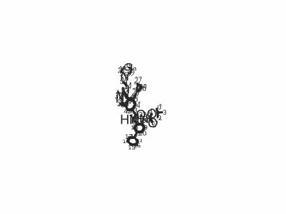 CC(C)(C)OC(=O)Nc1ccc(-c2ccccc2)cc1NC(=O)c1cc(C2CC2)c2c(cnn2CCN2CCOCC2)c1